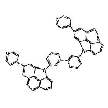 c1cc(-c2cccc(-n3c4cccc5ccc6cc(-c7ccncc7)cc3c6c54)c2)cc(-n2c3cccc4ccc5cc(-c6ccncc6)cc2c5c43)c1